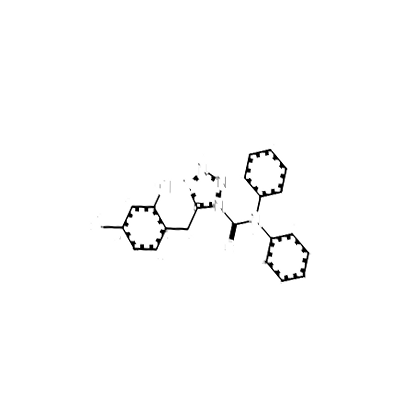 O=C(N(c1ccccc1)c1ccccc1)n1nnnc1Cc1ccc(Cl)cc1Cl